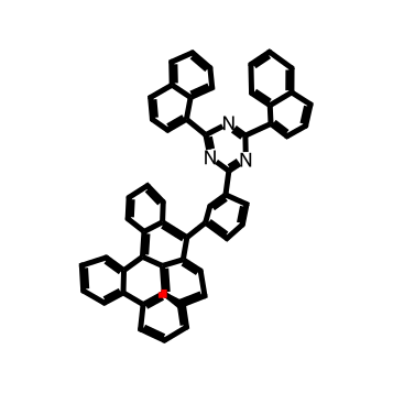 c1ccc(-c2ccccc2-c2c3ccccc3c(-c3cccc(-c4nc(-c5cccc6ccccc56)nc(-c5cccc6ccccc56)n4)c3)c3ccccc23)cc1